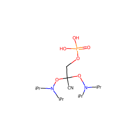 CC(C)N(OC(C#N)(COP(=O)(O)O)ON(C(C)C)C(C)C)C(C)C